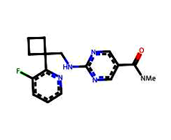 CNC(=O)c1cnc(NCC2(c3ncccc3F)CCC2)nc1